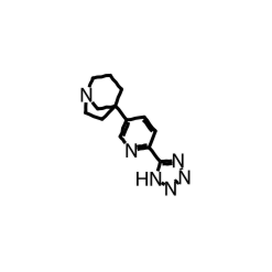 c1cc(-c2nnn[nH]2)ncc1C12CCCN(CC1)C2